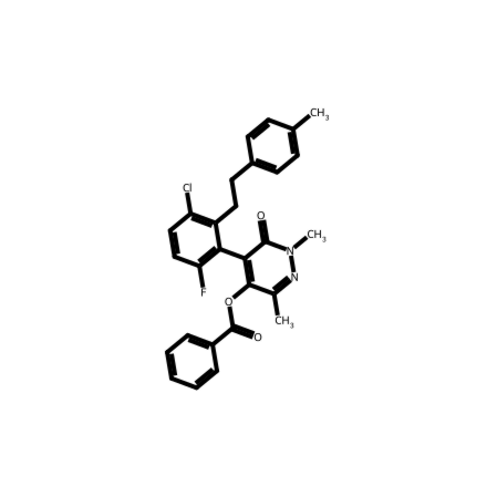 Cc1ccc(CCc2c(Cl)ccc(F)c2-c2c(OC(=O)c3ccccc3)c(C)nn(C)c2=O)cc1